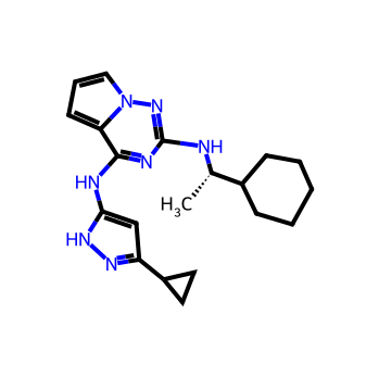 C[C@H](Nc1nc(Nc2cc(C3CC3)n[nH]2)c2cccn2n1)C1CCCCC1